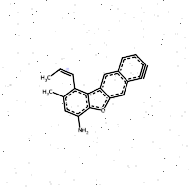 C/C=C\c1c(C)cc(N)c2oc3cc4c#cccc4cc3c12